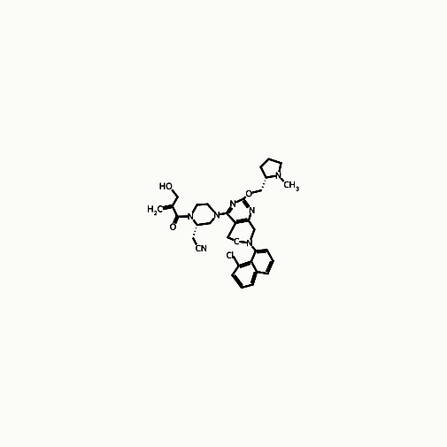 C=C(CO)C(=O)N1CCN(c2nc(OC[C@@H]3CCCN3C)nc3c2CCN(c2cccc4cccc(Cl)c24)C3)C[C@@H]1CC#N